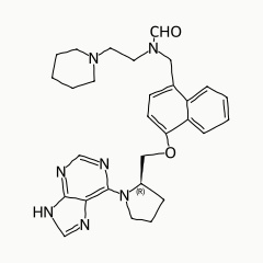 O=CN(CCN1CCCCC1)Cc1ccc(OC[C@H]2CCCN2c2ncnc3[nH]cnc23)c2ccccc12